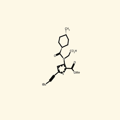 COC(=O)c1sc(C#CC(C)(C)C)cc1N(CC(=O)O)C(=O)[C@H]1CC[C@H](C)CC1